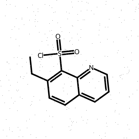 CCc1ccc2cccnc2c1S(=O)(=O)Cl